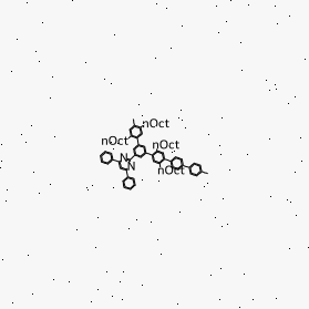 CCCCCCCCc1cc(-c2cc(-c3nc(-c4ccccc4)cc(-c4ccccc4)n3)cc(-c3cc(CCCCCCCC)c(-c4ccc(-c5ccc(C)cc5)cc4)cc3CCCCCCCC)c2)c(CCCCCCCC)cc1C